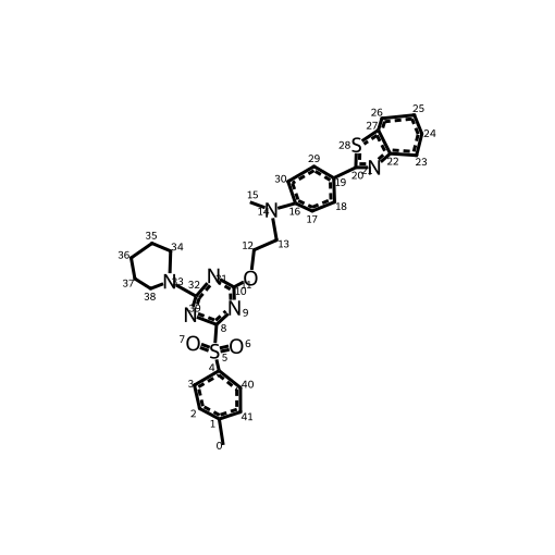 Cc1ccc(S(=O)(=O)c2nc(OCCN(C)c3ccc(-c4nc5ccccc5s4)cc3)nc(N3CCCCC3)n2)cc1